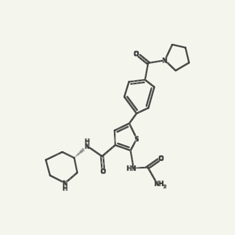 NC(=O)Nc1sc(-c2ccc(C(=O)N3CCCC3)cc2)cc1C(=O)N[C@H]1CCCNC1